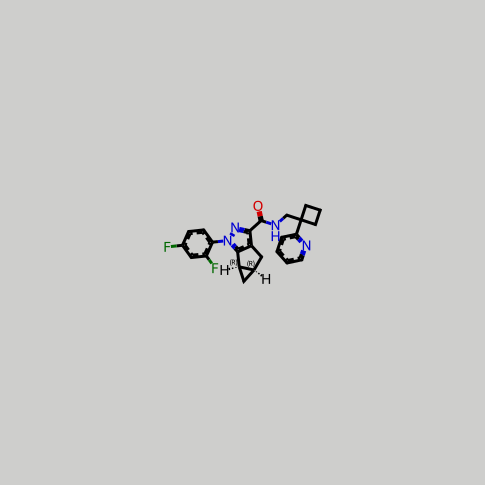 O=C(NCC1(c2ccccn2)CCC1)c1nn(-c2ccc(F)cc2F)c2c1C[C@H]1C[C@@H]21